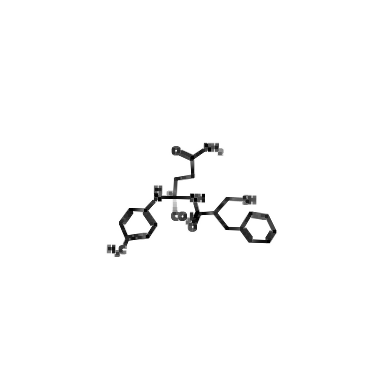 Cc1ccc(N[C@@](CCC(N)=O)(NC(=O)C(CS)Cc2ccccc2)C(=O)O)cc1